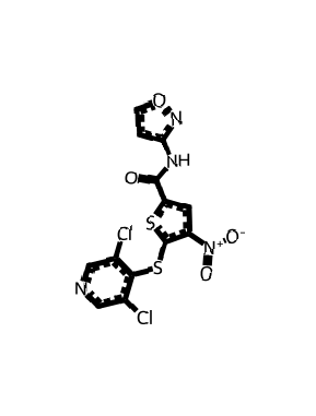 O=C(Nc1ccon1)c1cc([N+](=O)[O-])c(Sc2c(Cl)cncc2Cl)s1